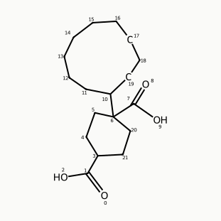 O=C(O)C1CCC(C(=O)O)(C2CCCCCCCCC2)CC1